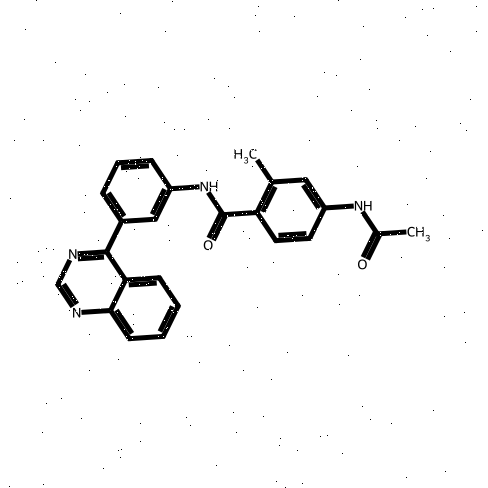 CC(=O)Nc1ccc(C(=O)Nc2cccc(-c3ncnc4ccccc34)c2)c(C)c1